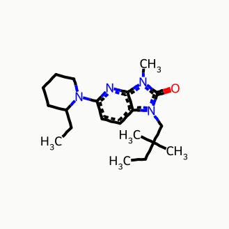 CCC1CCCCN1c1ccc2c(n1)n(C)c(=O)n2CC(C)(C)CC